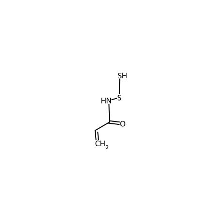 C=CC(=O)NSS